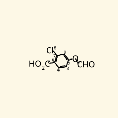 O=COc1ccc(C(=O)O)c(Cl)c1